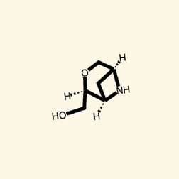 OC[C@H]1OC[C@@H]2C[C@H]1N2